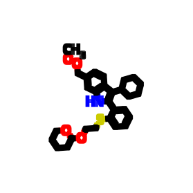 COOCc1ccc2c(C3CCCCC3)c(-c3ccccc3SCCOC3CCCCO3)[nH]c2c1